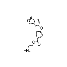 CB1OCc2cc(Oc3ccc(C(=O)OCCN(C)C)cc3)ccc21